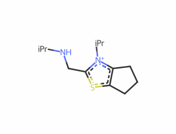 CC(C)NCc1sc2c([n+]1C(C)C)CCC2